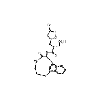 O=C(O)C[C@@H](CC1CC(Br)=NO1)C(=O)N[C@H]1Cc2cn(c3ccccc23)CCCCCNC1=O